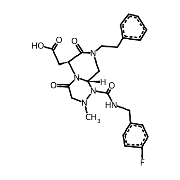 CN1CC(=O)N2[C@@H](CC(=O)O)C(=O)N(CCc3ccccc3)C[C@@H]2N1C(=O)NCc1ccc(F)cc1